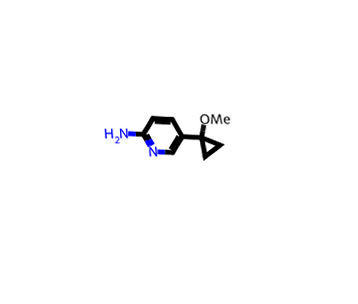 COC1(c2ccc(N)nc2)CC1